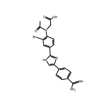 CC(=O)N(CC(=O)O)c1ccc(-c2nc(-c3ccc(C(=N)N)cc3)c[nH]2)cc1Br